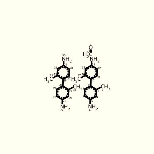 C=O.Cc1cc(N)ccc1-c1ccc(N)cc1C.Cc1cc(N)ccc1-c1ccc(N)cc1C